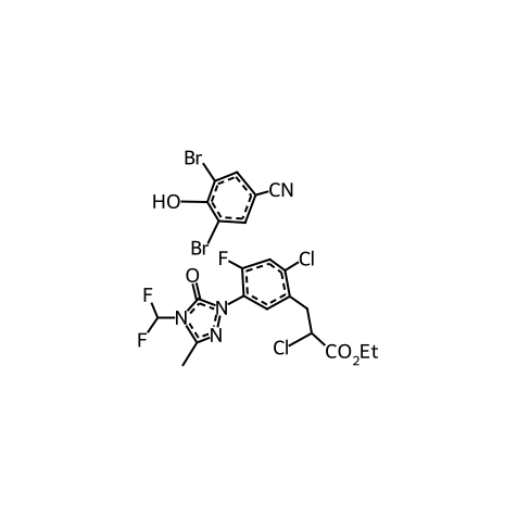 CCOC(=O)C(Cl)Cc1cc(-n2nc(C)n(C(F)F)c2=O)c(F)cc1Cl.N#Cc1cc(Br)c(O)c(Br)c1